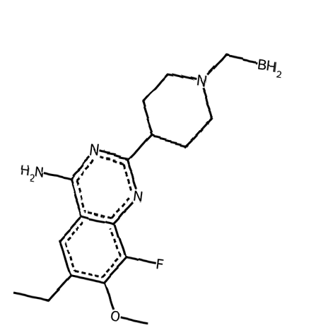 BCN1CCC(c2nc(N)c3cc(CC)c(OC)c(F)c3n2)CC1